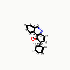 O=C1c2c(ncc3ccccc23)C=CC1c1ccccc1